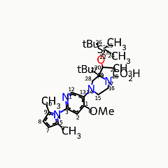 COc1cc(-n2c(C)ccc2C)ncc1N1CCN(C(=O)O)[C@](C(C)O[Si](C)(C)C(C)(C)C)(C(C)(C)C)C1